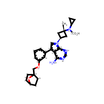 C[C@]1(N(C(=O)O)C2CC2)C[C@H](n2cc(-c3cccc(OCC45CCC(CC4)O5)c3)c3c(N)ncnc32)C1